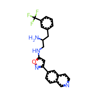 NC(CNc1cc(-c2ccc3cnccc3c2)no1)Cc1cccc(C(F)(F)F)c1